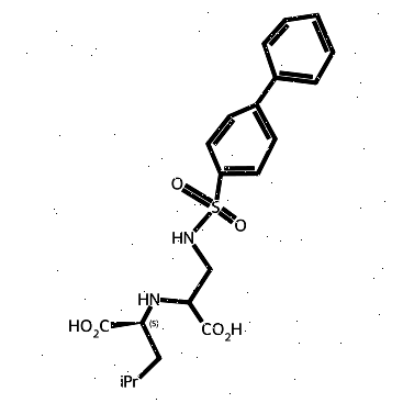 CC(C)C[C@H](NC(CNS(=O)(=O)c1ccc(-c2ccccc2)cc1)C(=O)O)C(=O)O